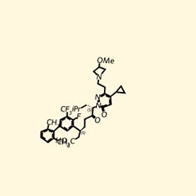 COC1CN(CCc2nn([C@@H](CC(C)C)C(=O)CC[C@@H](CC(=O)O)c3cc(-c4c(C)cccc4C)cc(C(F)(F)F)c3F)c(=O)cc2C2CC2)C1